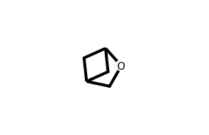 C1OC2CC1C2